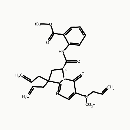 C=CCN(C(=O)O)c1cnc2n(c1=O)[C@H](C(=O)Nc1ccccc1C(=O)OC(C)(C)C)CC2(CC=C)CC=C